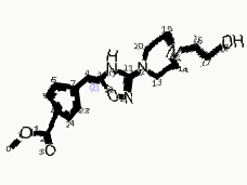 COC(=O)c1ccc(/C=C2/NC(N3CCN(CCO)CC3)=NO2)cc1